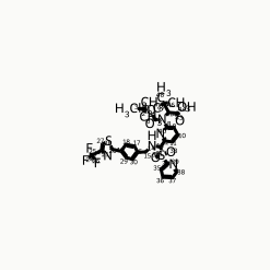 CC(C)(C)OC(=O)N(c1cccc(C(NCc2ccc(-c3nc(C(F)(F)F)cs3)cc2)S(=O)(=O)c2ccccn2)n1)C(C(=O)O)C(C)(C)C